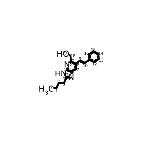 CCCCc1nc2cc(C=Cc3ccccc3)c(CO)nc2[nH]1